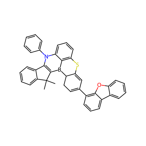 CC1(C)C2=C(c3ccccc31)N(c1ccccc1)c1cccc3c1B2C1CC=C(c2cccc4c2oc2ccccc24)C=C1S3